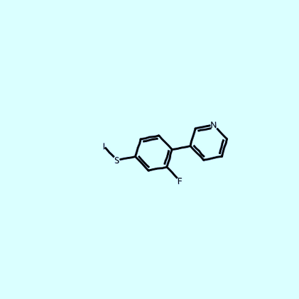 Fc1cc(SI)ccc1-c1cccnc1